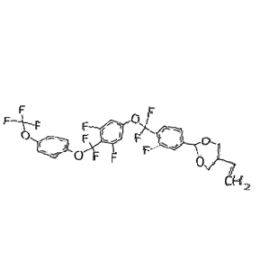 C=CC1COC(c2ccc(C(F)(F)Oc3cc(F)c(C(F)(F)Oc4ccc(OC(F)(F)F)cc4)c(F)c3)c(F)c2)OC1